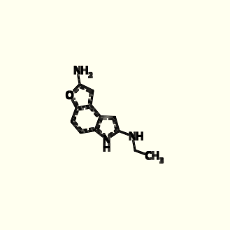 CCNc1cc2c(ccc3oc(N)cc32)[nH]1